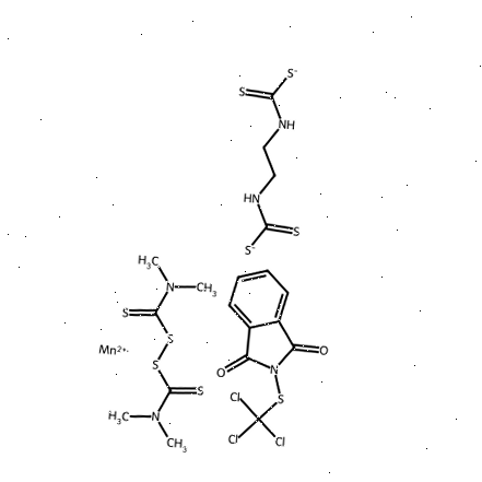 CN(C)C(=S)SSC(=S)N(C)C.O=C1c2ccccc2C(=O)N1SC(Cl)(Cl)Cl.S=C([S-])NCCNC(=S)[S-].[Mn+2]